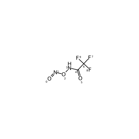 O=NONC(=O)C(F)(F)F